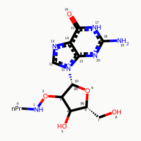 CCCNOC1C(O)[C@@H](CO)O[C@H]1n1cnc2c(=O)[nH]c(N)nc21